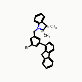 CCc1cc(CN2c3ccccc3[C@H](C)[C@@H]2C)cc(-c2cccc3c2Cc2ccccc2-3)c1